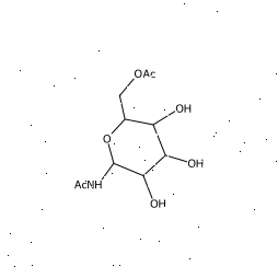 CC(=O)NC1OC(COC(C)=O)C(O)C(O)C1O